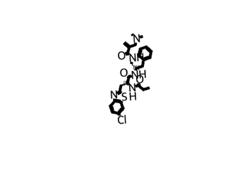 C=C(CN(C)C)C(=O)NC[C@H](Cc1ccccc1)NC(=O)[C@H](Cc1nc2ccc(Cl)cc2s1)NC(=O)CC